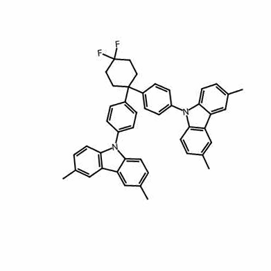 Cc1ccc2c(c1)c1cc(C)ccc1n2-c1ccc(C2(c3ccc(-n4c5ccc(C)cc5c5cc(C)ccc54)cc3)CCC(F)(F)CC2)cc1